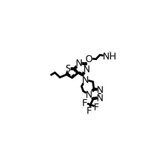 CCCc1cc2c(N3CCn4c(nnc4C(F)(F)F)C3)nc(OCCNC)nc2s1